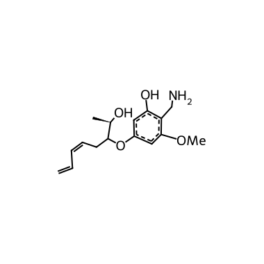 C=C/C=C\CC(Oc1cc(O)c(CN)c(OC)c1)[C@@H](C)O